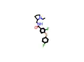 CCN1CCCC1CNC(=O)c1ccc(Sc2ccc(F)cc2)c(F)c1